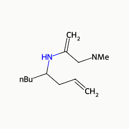 C=CCC(CCCC)NC(=C)CNC